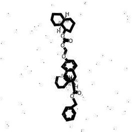 O=C(OCOc1ccc2c(c1)[C@]13CCCC[C@@H]1[C@H](C2)N(C(=O)OCc1ccccc1)CC3)OC1CCC[C@@H]2CCCC[C@H]12